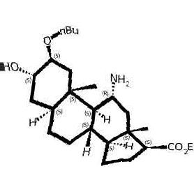 CCCCO[C@H]1C[C@@]2(C)[C@@H](CC[C@@H]3[C@@H]2[C@H](N)C[C@]2(C)[C@@H](C(=O)OCC)CC[C@@H]32)C[C@@H]1O